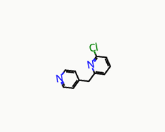 Clc1cccc(Cc2ccncc2)n1